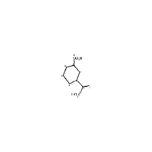 CC(C(=O)O)C1CC[CH]C(S(=O)(=O)O)C1